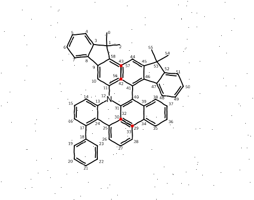 CC1(C)c2ccccc2-c2cc(N(c3cccc(-c4ccccc4)c3-c3ccccc3)c3ccc4ccccc4c3-c3cccc4c3-c3ccccc3C4(C)C)ccc21